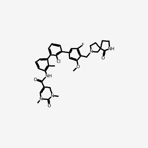 COc1cc(-c2cccc(-c3cccc(NC(=O)C4=CN(C)C(=O)N(C)C4)c3C)c2Cl)cc(F)c1CN1CCC2(CCNC2=O)C1